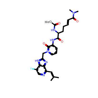 COC(=O)NC(CC/C=C/C(=O)N(C)C)C(=O)Nc1cccn(Cc2nc3c(C=C(C)C)ncc(F)c3[nH]2)c1=O